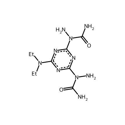 CCN(CC)c1nc(N(N)C(N)=O)nc(N(N)C(N)=O)n1